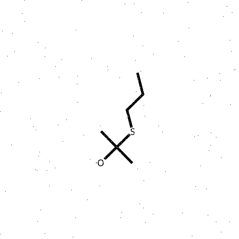 CCCSC(C)(C)[O]